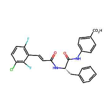 O=C(C=Cc1c(F)ccc(Cl)c1F)N[C@@H](Cc1ccccc1)C(=O)Nc1ccc(C(=O)O)cc1